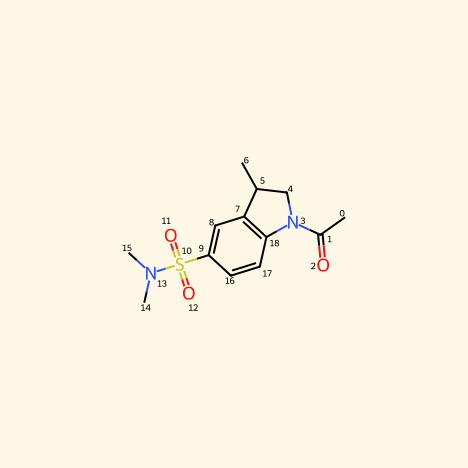 CC(=O)N1CC(C)c2cc(S(=O)(=O)N(C)C)ccc21